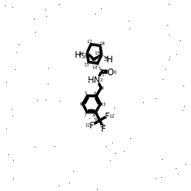 O=C(NCc1cccc(C(F)(F)F)c1)[C@@H]1C[C@H]2CC[C@@H]1C2